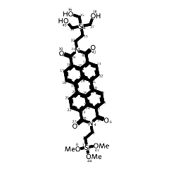 CO[Si](CCN1C(=O)c2ccc3c4ccc5c6c(ccc(c7ccc(c2c37)C1=O)c64)C(=O)N(CC[Si](CO)(CO)CO)C5=O)(OC)OC